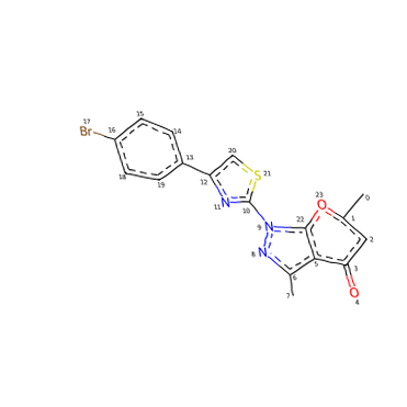 Cc1cc(=O)c2c(C)nn(-c3nc(-c4ccc(Br)cc4)cs3)c2o1